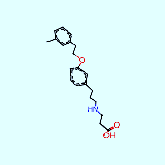 Cc1cccc(CCOc2cccc(CCCNCCC(=O)O)c2)c1